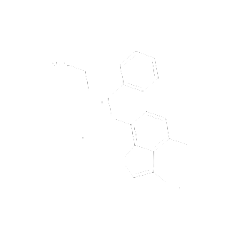 CNCC[C@@H](Oc1ccc(F)c2c(C)csc12)c1ccccc1.Cl